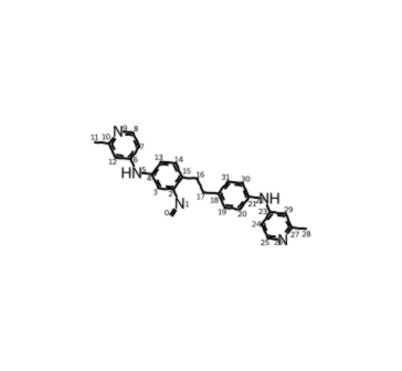 C=Nc1cc(Nc2ccnc(C)c2)ccc1CCc1ccc(Nc2ccnc(C)c2)cc1